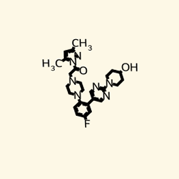 Cc1cc(C)n(C(=O)CN2CCN(c3ccc(F)cc3-c3cnc(N4CCC(O)CC4)nc3)CC2)n1